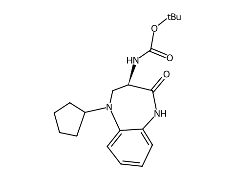 CC(C)(C)OC(=O)N[C@@H]1CN(C2CCCC2)c2ccccc2NC1=O